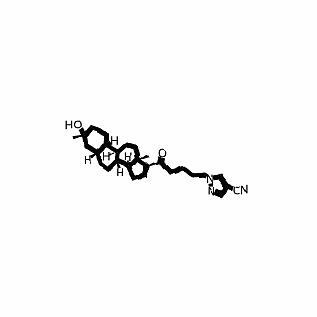 C[C@@]1(O)CC[C@H]2[C@H](CC[C@@H]3[C@@H]2CC[C@]2(C)[C@@H](C(=O)CCCCn4cc(C#N)cn4)CC[C@@H]32)C1